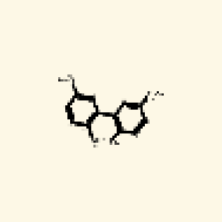 COc1ccc([N+](=O)[O-])c(-c2cc(OC)ccc2[N+](=O)[O-])c1